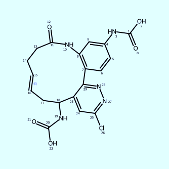 O=C(O)Nc1ccc2c(c1)NC(=O)CC/C=C/CC(NC(=O)O)c1cc(Cl)nnc1-2